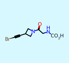 O=C(O)NCC(=O)N1CC(C#CBr)C1